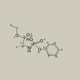 CCOC(=O)[C@@H](C)NP(=O)(O)Oc1ccccc1